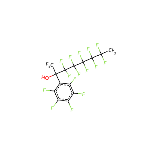 OC(c1c(F)c(F)c(F)c(F)c1F)(C(F)(F)F)C(F)(F)C(F)(F)C(F)(F)C(F)(F)C(F)(F)C(F)(F)F